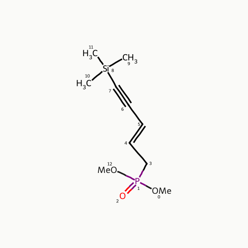 COP(=O)(CC=CC#C[Si](C)(C)C)OC